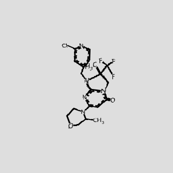 CC1COCCN1c1cc(=O)n2c(n1)N(Cc1ccnc(Cl)c1)C(C)(C(F)(F)F)C2